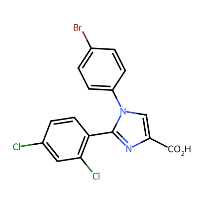 O=C(O)c1cn(-c2ccc(Br)cc2)c(-c2ccc(Cl)cc2Cl)n1